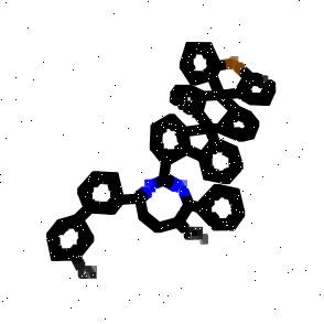 CC1CC/C(c2cccc(-c3cccc(C#N)c3)c2)=N\C(c2cccc3c2-c2ccccc2C32c3ccccc3C3(c4ccccc4Sc4ccccc43)c3ccccc32)=N/C1c1ccccc1